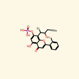 CCC(c1c(OP(=O)(O)O)cc(O)c2c(=O)cc(-c3ccccc3C)oc12)C(O)CNC